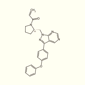 C=CC(=O)N1CCC[C@H]1Cn1nc(-c2ccc(Oc3ccccc3)cc2)c2cncnc21